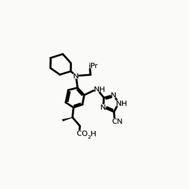 CC(C)CN(c1ccc([C@H](C)CC(=O)O)cc1Nc1n[nH]c(C#N)n1)C1CCCCC1